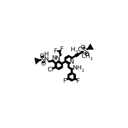 CC(C)(C#Cc1ccc(-c2ccc(Cl)c3c(CNS(=O)(=O)C4CC4)nn(CC(F)F)c23)c(C[C@H](N)c2cc(F)cc(F)c2)n1)S(=O)(=O)C1CC1